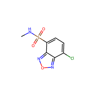 CNS(=O)(=O)c1ccc(Cl)c2nonc12